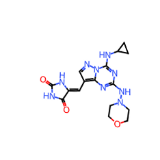 O=C1NC(=O)/C(=C/c2cnn3c(NC4CC4)nc(NN4CCOCC4)nc23)N1